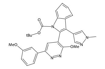 COc1cccc(-c2cc(-c3c(-c4cnn(C)c4)c4ccccc4n3C(=O)OC(C)(C)C)c(OC)nn2)c1